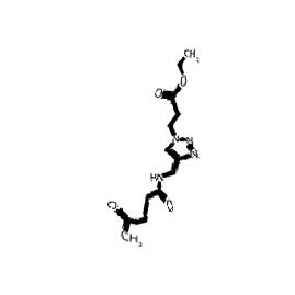 CCOC(=O)CCn1cc(CNC(=O)CCC(C)=O)nn1